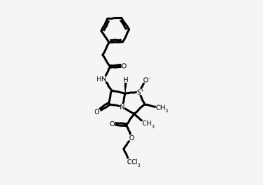 CC1[S+]([O-])[C@H]2C(NC(=O)Cc3ccccc3)C(=O)N2C1(C)C(=O)OCC(Cl)(Cl)Cl